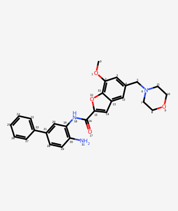 COc1cc(CN2CCOCC2)cc2cc(C(=O)Nc3cc(-c4ccccc4)ccc3N)oc12